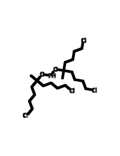 CC(CCCCCl)(CCCCCl)OPOC(C)(CCCCCl)CCCCCl